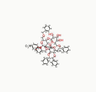 CC(=O)NC1C(Oc2ccc([N+](=O)[O-])cc2)OC(COCc2ccccc2)C(OC2OC(COCc3ccccc3)C(O)C(O)C2O)C1OC1OC(C)C(OCc2ccccc2)C(OCc2ccccc2)C1OCc1ccccc1